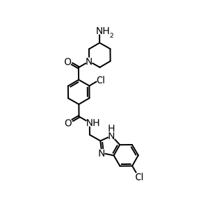 NC1CCCN(C(=O)C2=CCC(C(=O)NCc3nc4cc(Cl)ccc4[nH]3)C=C2Cl)C1